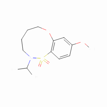 COc1ccc2c(c1)OCCCCN(C(C)C)S2(=O)=O